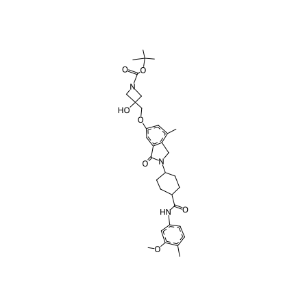 COc1cc(NC(=O)C2CCC(N3Cc4c(C)cc(OCC5(O)CN(C(=O)OC(C)(C)C)C5)cc4C3=O)CC2)ccc1C